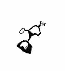 ClC1CC(Br)CCC1c1ccccc1